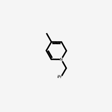 CC1=CCN(CC(C)C)C=C1